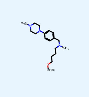 CCCCCCOCCCCN(C)Cc1ccc(N2CCN(SC)CC2)cc1